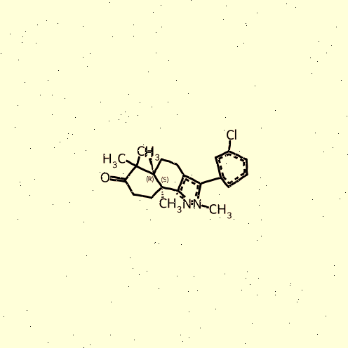 Cn1nc2c(c1-c1cccc(Cl)c1)CC[C@H]1C(C)(C)C(=O)CC[C@]21C